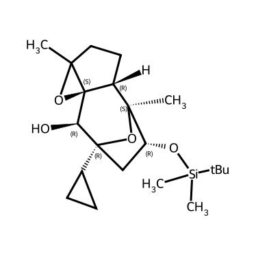 CC12CC[C@@H]3[C@]4(C)O[C@@](C5CC5)(C[C@H]4O[Si](C)(C)C(C)(C)C)[C@@H](O)[C@@]31O2